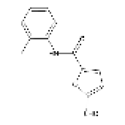 Cc1ccccc1NC(=O)c1ccc(C=O)o1